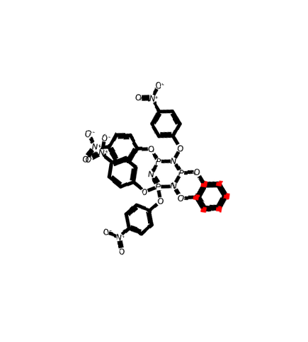 O=[N+]([O-])c1ccc(ON2P(Oc3ccc([N+](=O)[O-])cc3)N=P(Oc3ccc([N+](=O)[O-])cc3)(Oc3ccc([N+](=O)[O-])cc3)N(Oc3ccccc3)P2Oc2ccccc2)cc1